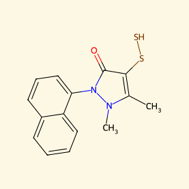 Cc1c(SS)c(=O)n(-c2cccc3ccccc23)n1C